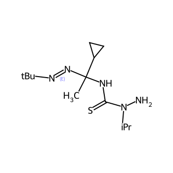 CC(C)N(N)C(=S)NC(C)(/N=N/C(C)(C)C)C1CC1